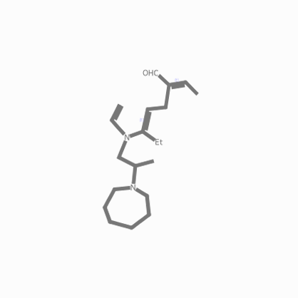 C=CN(CC(C)N1CCCCCC1)/C(=C/C/C(C=O)=C\C)CC